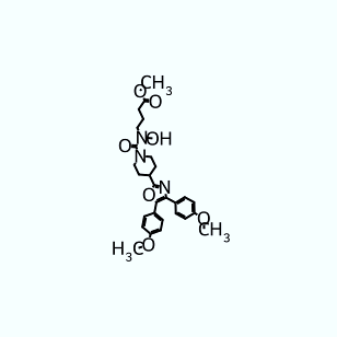 COC(=O)CCCN(O)C(=O)N1CCC(c2nc(-c3ccc(OC)cc3)c(-c3ccc(OC)cc3)o2)CC1